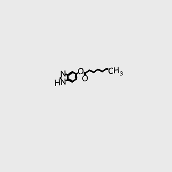 CCCCCCC(=O)Oc1ccc2[nH]cnc2c1